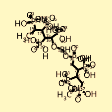 COP(=O)(O)CC(C(CP(=O)(O)OBOC(C(C(C(C)P(=O)(O)O)P(=O)(O)O)P(=O)(O)O)P(=O)(O)O)P(=O)(O)O)P(=O)(O)O